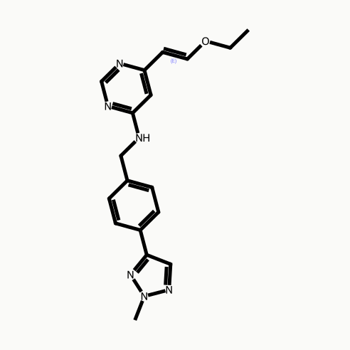 CCO/C=C/c1cc(NCc2ccc(-c3cnn(C)n3)cc2)ncn1